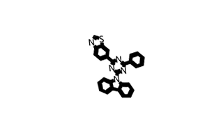 c1ccc(-c2nc(-c3ccc4ncsc4c3)nc(-n3c4ccccc4c4ccccc43)n2)cc1